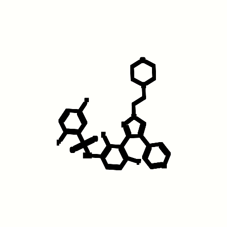 O=S(=O)(Nc1ccc(F)c(-c2nn(CCN3CCOCC3)cc2-c2ccncc2)c1F)c1cc(F)ccc1F